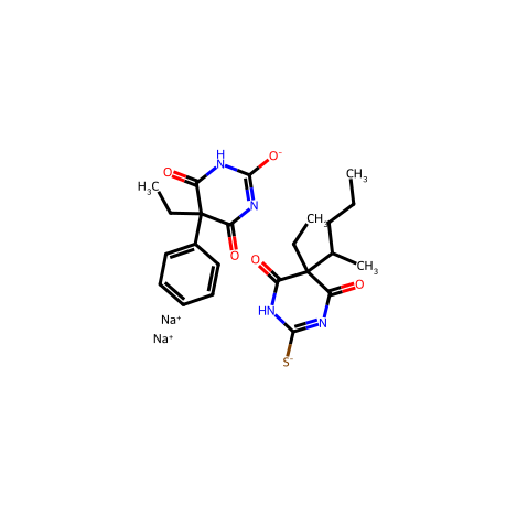 CCC1(c2ccccc2)C(=O)N=C([O-])NC1=O.CCCC(C)C1(CC)C(=O)N=C([S-])NC1=O.[Na+].[Na+]